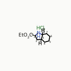 CCOC(=O)[C@@H]1C[C@H]2CCCC[C@H]2N1.Cl